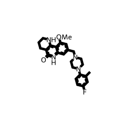 COc1cc(CN2CCN(c3ccc(F)cc3C)CC2)cc2[nH]c(=O)c3c(c12)NCCC3